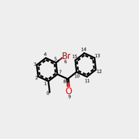 Cc1cccc(Br)c1C(=O)c1ccccc1